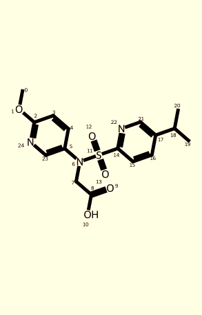 COc1ccc(N(CC(=O)O)S(=O)(=O)c2ccc(C(C)C)cn2)cn1